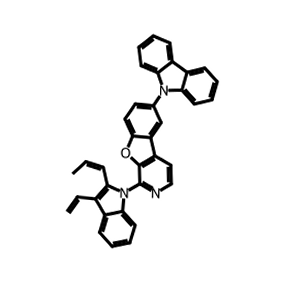 C=Cc1c(/C=C\C)n(-c2nccc3c2oc2ccc(-n4c5ccccc5c5ccccc54)cc23)c2ccccc12